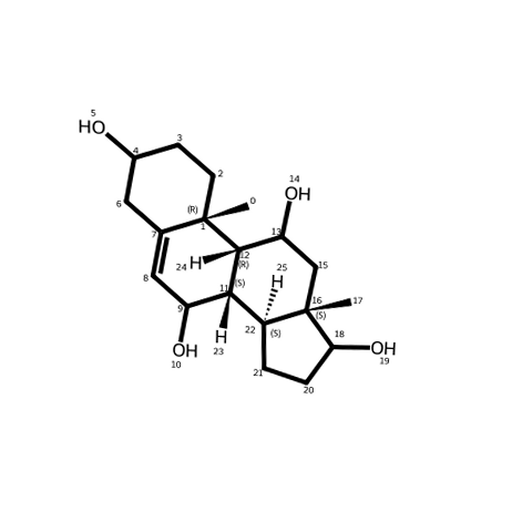 C[C@]12CCC(O)CC1=CC(O)[C@@H]1[C@H]2C(O)C[C@]2(C)C(O)CC[C@@H]12